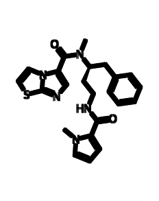 CN(C(=O)c1cnc2sccn12)[C@H](CCNC(=O)c1cccn1C)Cc1ccccc1